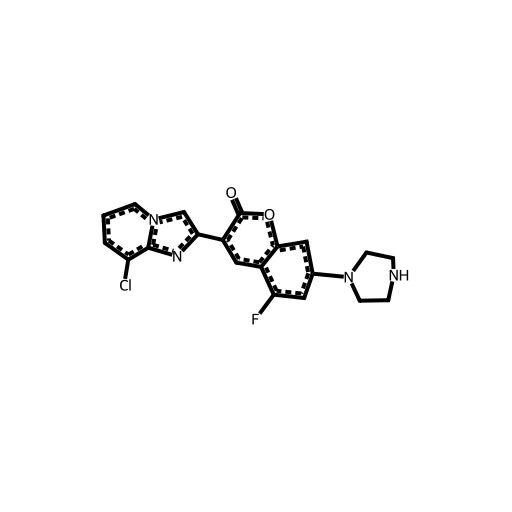 O=c1oc2cc(N3CCNCC3)cc(F)c2cc1-c1cn2cccc(Cl)c2n1